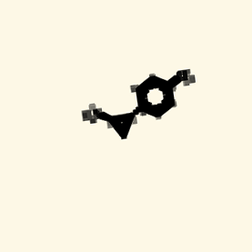 N[C@@H]1C[C@H]1c1ccc(C(F)(F)F)cc1